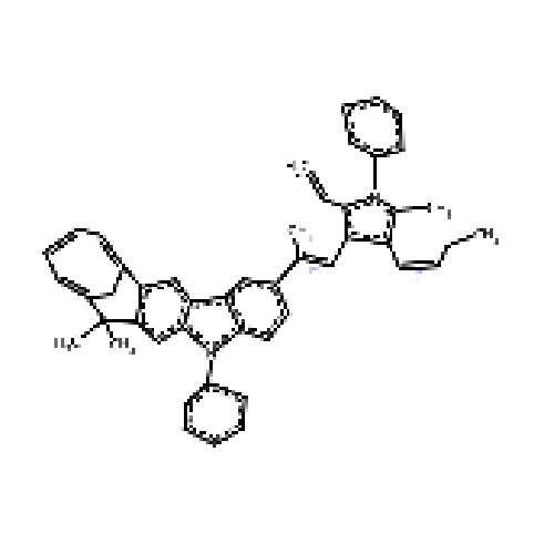 C=Cc1c(/C=C(\C)c2ccc3c(c2)c2cc4c(cc2n3-c2ccccc2)C(C)(C)C2=CC=CC=C4C2)c(/C=C\CC)c(C)n1-c1ccccc1